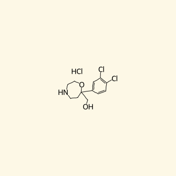 Cl.OCC1(c2ccc(Cl)c(Cl)c2)CCNCCO1